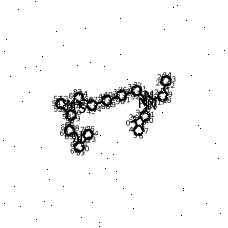 CC1(C)c2ccccc2-c2ccc(-c3nc(-c4cccc(-c5ccccc5)c4)nc(-c4cccc(-c5ccc(-c6ccc(-c7ccc8sc9c(-n%10c%11ccccc%11c%11cc(-c%12cccc(-n%13c%14ccccc%14c%14ccccc%14%13)c%12)ccc%11%10)cccc9c8c7)cc6)cc5)c4)n3)cc21